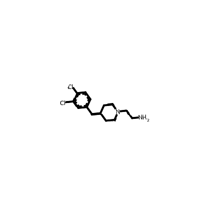 NCCN1CCC(Cc2ccc(Cl)c(Cl)c2)CC1